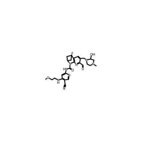 COCCNc1cc(NC(=O)N2c3nc(C=O)c(CN4CCN(C)CC4O)cc3C3(F)CC2C3)ncc1C#N